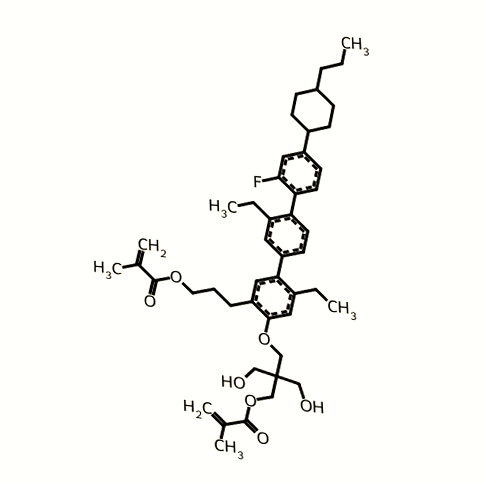 C=C(C)C(=O)OCCCc1cc(-c2ccc(-c3ccc(C4CCC(CCC)CC4)cc3F)c(CC)c2)c(CC)cc1OCC(CO)(CO)COC(=O)C(=C)C